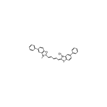 CCN1C(=CC=CC=Cc2oc3ccc(-c4ccccc4)cc3[n+]2C)Sc2ccc(-c3ccccc3)cc21